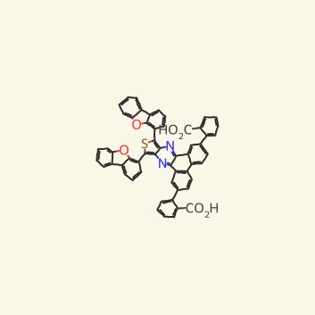 O=C(O)c1ccccc1-c1ccc2c3ccc(-c4ccccc4C(=O)O)cc3c3nc4c(-c5cccc6c5oc5ccccc56)sc(-c5cccc6c5oc5ccccc56)c4nc3c2c1